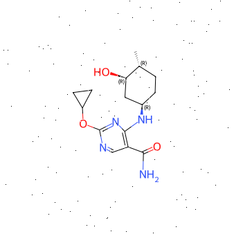 C[C@@H]1CC[C@@H](Nc2nc(OC3CC3)ncc2C(N)=O)C[C@H]1O